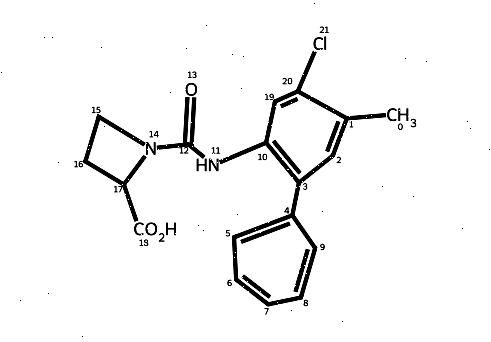 Cc1cc(-c2ccccc2)c(NC(=O)N2CCC2C(=O)O)cc1Cl